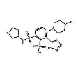 NS(=O)(=O)c1c(S(=O)(=O)N[C@@H]2CCNC2)ccc(N2CCC(O)CC2)c1-c1nnn[nH]1